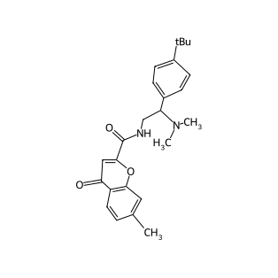 Cc1ccc2c(=O)cc(C(=O)NCC(c3ccc(C(C)(C)C)cc3)N(C)C)oc2c1